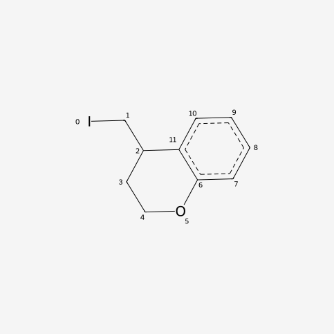 ICC1CCOc2ccccc21